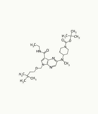 CCNC(=O)c1cn(COCCS(C)(C)C)c2ncc(N(C)C3CCN(C(=O)OC(C)(C)C)CC3)nc12